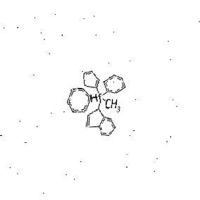 [CH3][Hf]([C]1=CC=CC1)([c]1ccccc1)([c]1ccccc1)[CH]1C=Cc2ccccc21